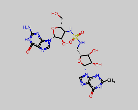 Cc1nc2c(ncn2[C@@H]2O[C@H](CNS(=O)(=O)N[C@H]3[C@@H](O)[C@H](n4cnc5c(=O)[nH]c(N)nc54)O[C@@H]3CO)[C@@H](O)[C@H]2O)c(=O)[nH]1